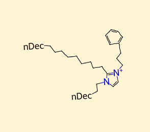 CCCCCCCCCCCCCCCCCCCc1n(CCCCCCCCCCCC)cc[n+]1CCCc1ccccc1